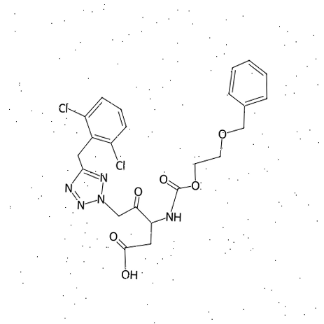 O=C(O)CC(NC(=O)OCCOCc1ccccc1)C(=O)Cn1nnc(Cc2c(Cl)cccc2Cl)n1